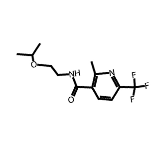 Cc1nc(C(F)(F)F)ccc1C(=O)NCCOC(C)C